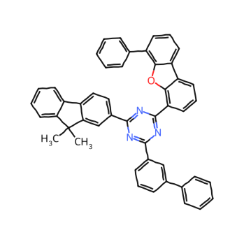 CC1(C)c2ccccc2-c2ccc(-c3nc(-c4cccc(-c5ccccc5)c4)nc(-c4cccc5c4oc4c(-c6ccccc6)cccc45)n3)cc21